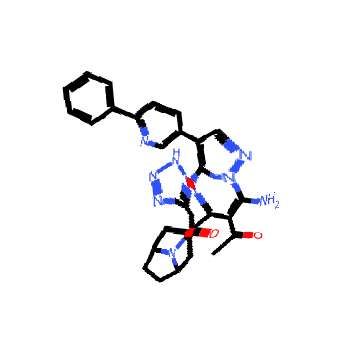 CC(=O)c1c(C2CC3CCC(C2)N3C(=O)c2nn[nH]n2)nc2c(-c3ccc(-c4ccccc4)nc3)cnn2c1N